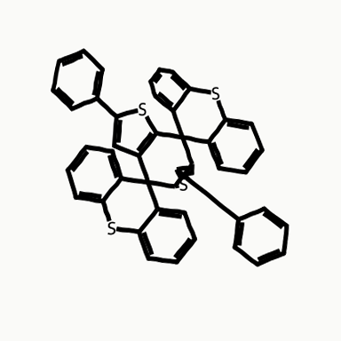 c1ccc(-c2cc3c(s2)C2(c4ccccc4Sc4ccccc42)c2cc(-c4ccccc4)sc2C32c3ccccc3Sc3ccccc32)cc1